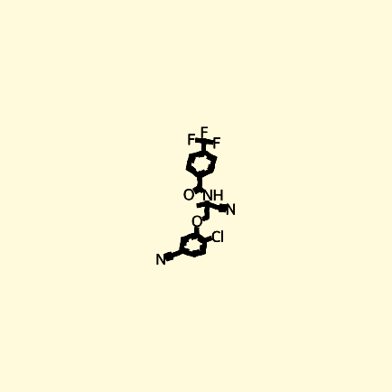 CC(C#N)(COc1cc(C#N)ccc1Cl)NC(=O)c1ccc(C(F)(F)F)cc1